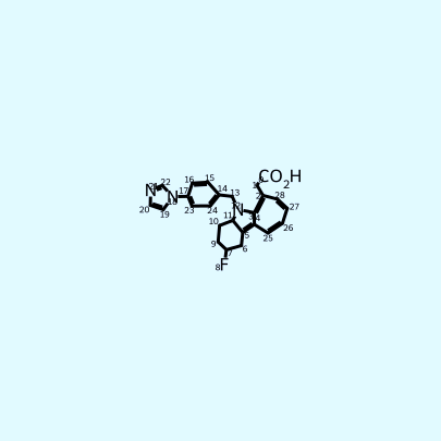 O=C(O)CC1=C2C(=C3CC(F)CCC3N2Cc2ccc(-n3ccnc3)cc2)C=CC=C1